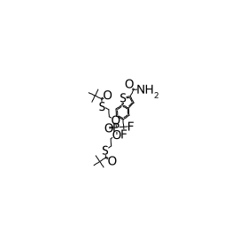 CC(C)(C)C(=O)SCCOP(=O)(OCCSC(=O)C(C)(C)C)C(F)(F)c1ccc2sc(C(N)=O)cc2c1